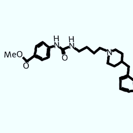 COC(=O)c1ccc(NC(=O)NCCCCN2CCC(Cc3ccccc3)CC2)cc1